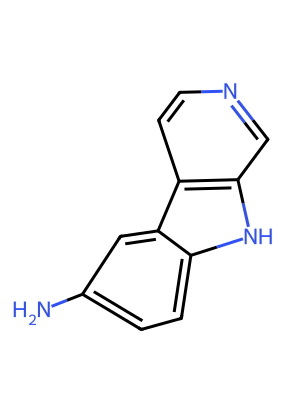 Nc1ccc2[nH]c3cnccc3c2c1